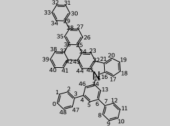 c1ccc(-c2cc(-c3ccccc3)cc(-n3c4ccccc4c4cc5c6ccc(-c7ccccc7)cc6c6ccccc6c5cc43)c2)cc1